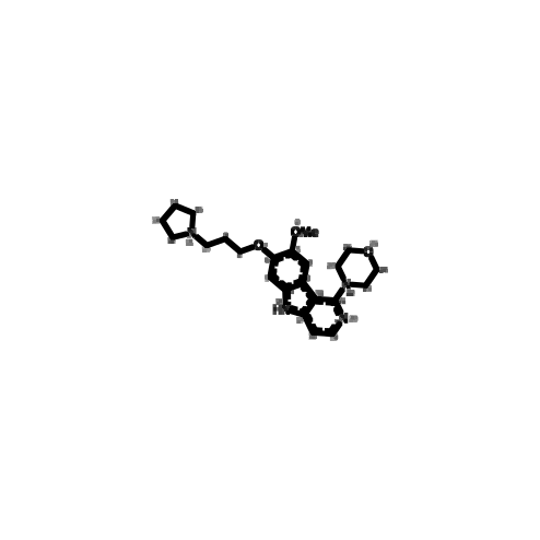 COc1cc2c(cc1OCCCN1CCCC1)[nH]c1ccnc(N3CCOCC3)c12